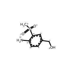 CS(=O)(=O)c1cc(CO)ccc1N